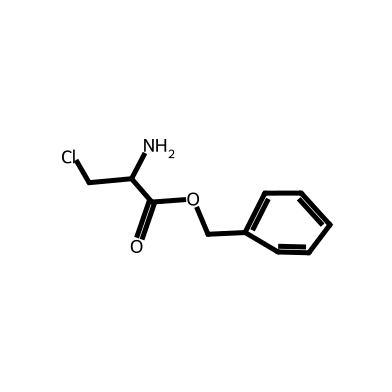 NC(CCl)C(=O)OCc1ccccc1